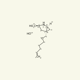 C=CCCCOC[C@]12C[C@@H](C(=O)O)N[C@H]1C2.Cl